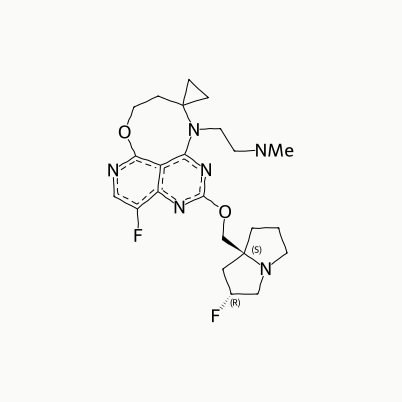 CNCCN1c2nc(OC[C@@]34CCCN3C[C@H](F)C4)nc3c(F)cnc(c23)OCCC12CC2